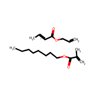 C=C(C)C(=O)OCCCCCCCC.C=CCOC(=O)/C=C/C